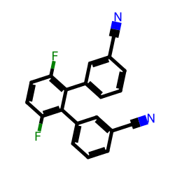 N#Cc1cccc(-c2c(F)ccc(F)c2-c2cccc(C#N)c2)c1